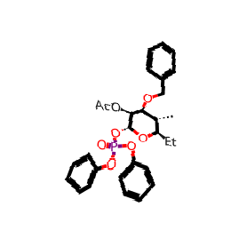 CC[C@H]1O[C@H](OP(=O)(Oc2ccccc2)Oc2ccccc2)[C@@H](OC(C)=O)[C@@H](OCc2ccccc2)[C@@H]1C